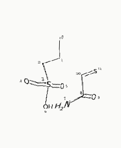 CCCS(=O)(=O)O.NC(=O)C=S